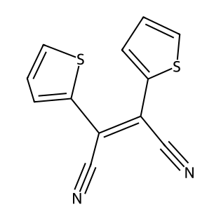 N#CC(=C(C#N)c1cccs1)c1cccs1